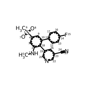 CNc1cc(S(C)(=O)=O)cc(-c2ccc(F)cc2)c1-c1cncc(C#N)c1